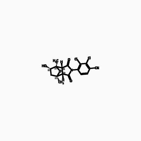 C[C@]12O[C@](C)(C[C@@H]1O)[C@H]1C(=O)N(c3ccc(C#N)c(Cl)c3Cl)C(=O)[C@H]12